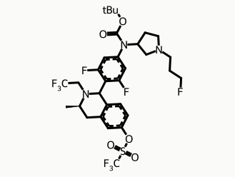 C[C@@H]1Cc2cc(OS(=O)(=O)C(F)(F)F)ccc2C(c2c(F)cc(N(C(=O)OC(C)(C)C)C3CCN(CCCF)C3)cc2F)N1CC(F)(F)F